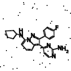 Nc1nccc(-c2c(-c3ccc(F)cc3)nn3c(NC4CCCC4)cccc23)n1